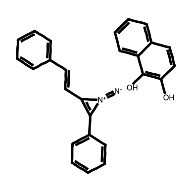 Oc1ccc2ccccc2c1O.[N-]=[N+]1C(C=Cc2ccccc2)=C1c1ccccc1